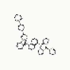 c1ccc(-c2ccc(-c3ccc4c(c3)c3ccccc3n4-c3cccc4c(-c5c6ccccc6c(-c6ccccc6)c6ccccc56)cccc34)cc2)cc1